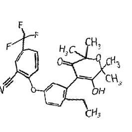 CCc1ccc(Oc2ccc(C(F)(F)F)cc2C#N)cc1C1=C(O)C(C)(C)OC(C)(C)C1=O